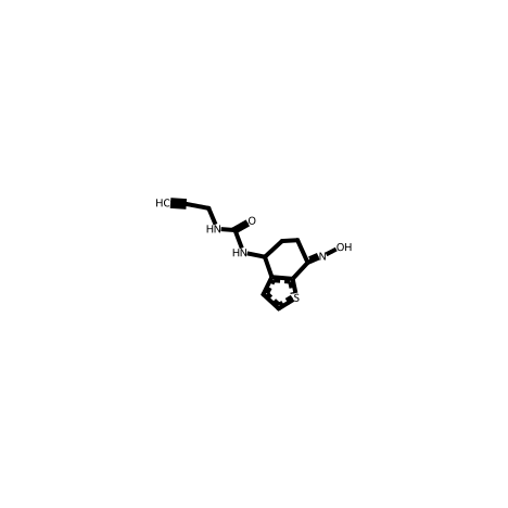 C#CCNC(=O)NC1CCC(=NO)c2sccc21